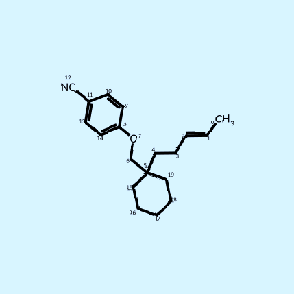 CC=CCCC1(COc2ccc(C#N)cc2)CCCCC1